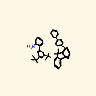 CC(C)(C)c1cc(-c2ccccc2N)cc(C(C)(C)C)c1.CC1(C)c2ccccc2-c2cccc(-c3ccc(-c4ccccc4)cc3)c21